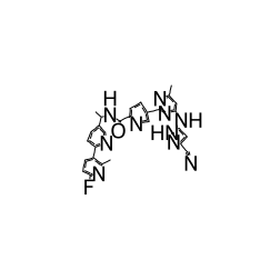 Cc1cc(Nc2cc(C#N)n[nH]2)nc(-c2ccc(C(=O)NC(C)c3ccc(-c4ccc(F)nc4C)nc3)nc2)n1